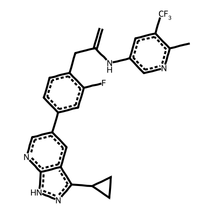 C=C(Cc1ccc(-c2cnc3[nH]nc(C4CC4)c3c2)cc1F)Nc1cnc(C)c(C(F)(F)F)c1